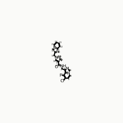 O=C(NCc1ncn2ccc(Cl)c(F)c12)c1cn(Cc2nc3ccccn3n2)nn1